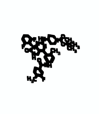 Cc1ccc(C(=O)Nc2ccc(C)c(-c3nc(NC4CCN(C(=O)OC(C)(C)C)CC4)nc4c3CNC(=O)N4c3c(F)cccc3F)c2)cc1F